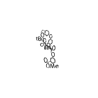 COC(=O)c1cccc(OCC(=O)Nc2ccc(Oc3ccc4c(c3)OCC4)cc2N(C)C(=O)OC(C)(C)C)c1